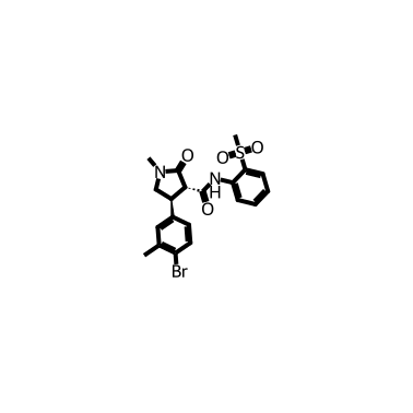 Cc1cc([C@H]2CN(C)C(=O)[C@@H]2C(=O)Nc2ccccc2S(C)(=O)=O)ccc1Br